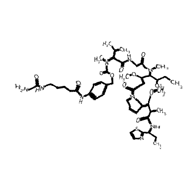 CCC(NC(=O)C(C)C(OC)C1CCCN1C(=O)CC(OC)C(C(C)CC)N(C)C(=O)CNC(=O)C(C(C)C)N(C)C(=O)OCc1ccc(NC(=O)CCCCNC(N)=O)cc1)c1nccs1